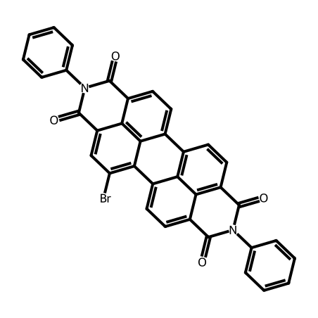 O=C1c2ccc3c4ccc5c6c(cc(Br)c(c7ccc(c2c37)C(=O)N1c1ccccc1)c64)C(=O)N(c1ccccc1)C5=O